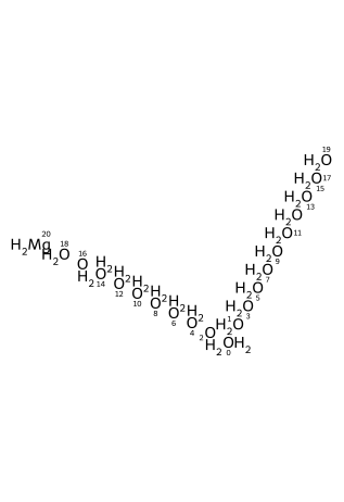 O.O.O.O.O.O.O.O.O.O.O.O.O.O.O.O.O.O.O.O.[MgH2]